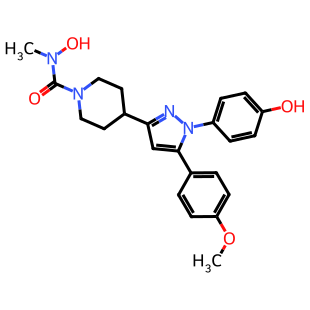 COc1ccc(-c2cc(C3CCN(C(=O)N(C)O)CC3)nn2-c2ccc(O)cc2)cc1